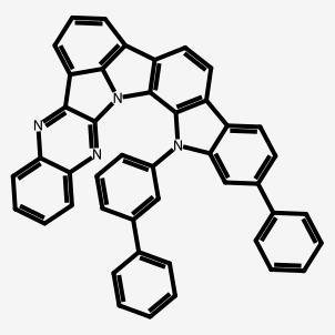 c1ccc(-c2cccc(-n3c4cc(-c5ccccc5)ccc4c4ccc5c6cccc7c8nc9ccccc9nc8n(c67)c5c43)c2)cc1